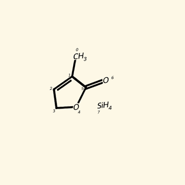 CC1=CCOC1=O.[SiH4]